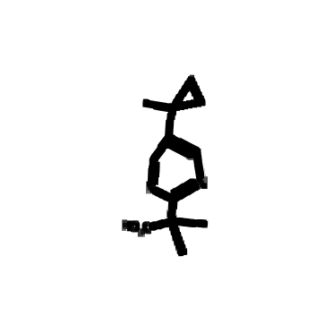 CC1(c2cnc(C(C)(C)C(=O)O)nc2)CC1